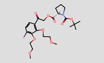 COCCOc1c(I)ccc(C(=O)COC(=O)[C@@H]2CCCN2C(=O)OC(C)(C)C)c1OCCOC